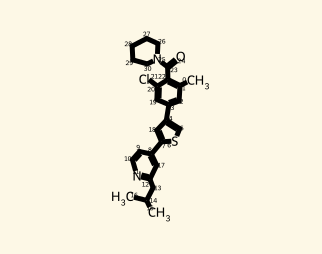 Cc1cc(-c2csc(-c3ccnc(CC(C)C)c3)c2)cc(Cl)c1C(=O)N1CCCCC1